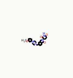 COc1cccc(N2CCN(Cc3ccc4c(c3)CN(C3CCC(=O)NC3=O)C4=O)CC2)c1